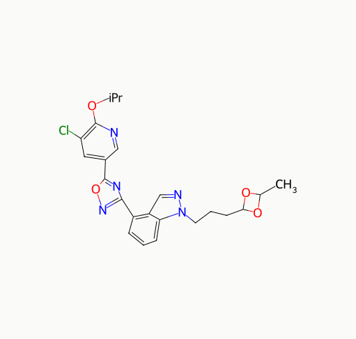 CC(C)Oc1ncc(-c2nc(-c3cccc4c3cnn4CCCC3OC(C)O3)no2)cc1Cl